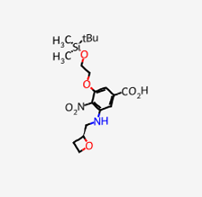 CC(C)(C)[Si](C)(C)OCCOc1cc(C(=O)O)cc(NC[C@@H]2CCO2)c1[N+](=O)[O-]